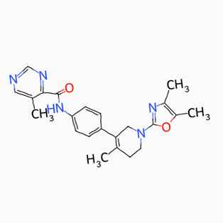 CC1=C(c2ccc(NC(=O)c3ncncc3C)cc2)CN(c2nc(C)c(C)o2)CC1